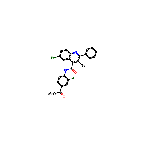 CCc1c(-c2ccccc2)nc2ccc(Br)cc2c1C(=O)Nc1ccc(C(=O)OC)cc1F